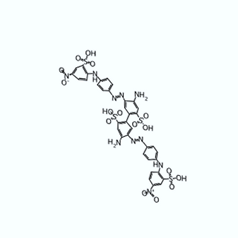 Nc1cc(S(=O)(=O)O)c(-c2cc(N=Nc3ccc(Nc4ccc([N+](=O)[O-])cc4S(=O)(=O)O)cc3)c(N)cc2S(=O)(=O)O)cc1N=Nc1ccc(Nc2ccc([N+](=O)[O-])cc2S(=O)(=O)O)cc1